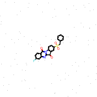 O=C1c2cc(S(=O)(=O)Cc3ccccc3)ccc2-n2c1nc1cc(F)ccc1c2=O